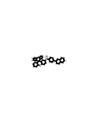 c1ccc2c(c1)Sc1ccc(Nc3ccc(-c4ccc5ccccc5c4)cc3)cc1C21c2ccccc2-c2ccccc21